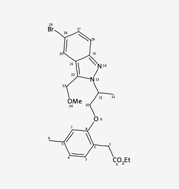 CCOC(=O)Cc1ccc(C)cc1OCC(C)n1nc2ccc(Br)cc2c1COC